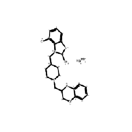 Br.Br.NC1Sc2cccc(Cl)c2N1CC1CCN(CC2COc3ccccc3O2)CC1